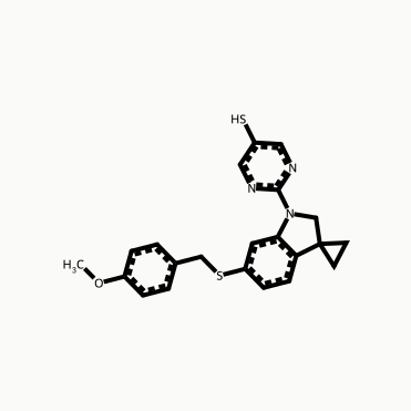 COc1ccc(CSc2ccc3c(c2)N(c2ncc(S)cn2)CC32CC2)cc1